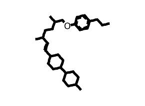 CCCc1ccc(OCC(C)CCC(C)/C=C/C2CCC(C3CCC(C)CC3)CC2)cc1